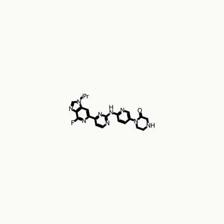 CC(C)n1cnc2c(F)nc(-c3ccnc(Nc4ccc(N5CCNCC5=O)cn4)n3)cc21